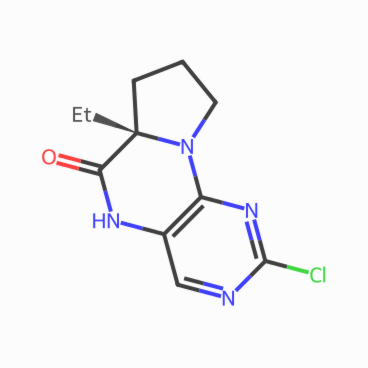 CC[C@@]12CCCN1c1nc(Cl)ncc1NC2=O